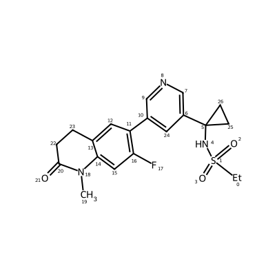 CCS(=O)(=O)NC1(c2cncc(-c3cc4c(cc3F)N(C)C(=O)CC4)c2)CC1